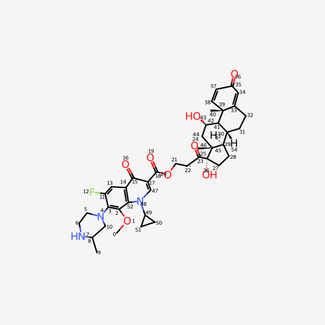 COc1c(N2CCNC(C)C2)c(F)cc2c(=O)c(C(=O)OC[CH]C(=O)[C@]3(O)CC[C@@H]4[C@H]5CCC6=CC(=O)C=C[C@@]6(C)C5[C@H](O)C[C@]43C)cn(C3CC3)c12